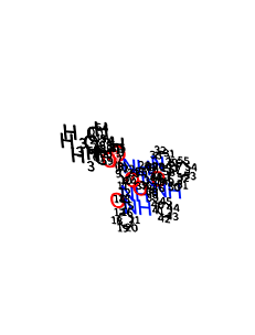 CC1(C)[C@@H]2C[C@H]3OB([C@H](CCCNC(=O)NC4CCCCC4)NC(=O)[C@@H]4C[C@@H](N5CCCCC5)CN4C(=O)[C@@H](CC4CCCCC4)NC(=O)c4ccc5ccccc5c4)O[C@@]3(C)[C@H]1C2